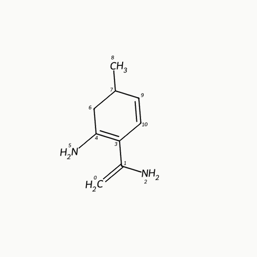 C=C(N)C1=C(N)CC(C)C=C1